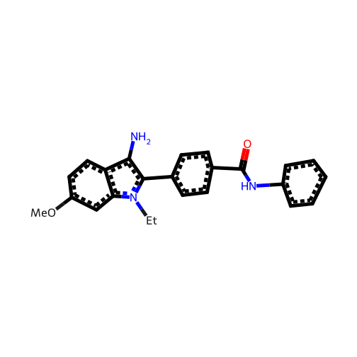 CCn1c(-c2ccc(C(=O)Nc3ccccc3)cc2)c(N)c2ccc(OC)cc21